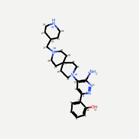 Nc1nnc(-c2ccccc2O)cc1N1CCC2(CCN(CC3CCNCC3)CC2)CC1